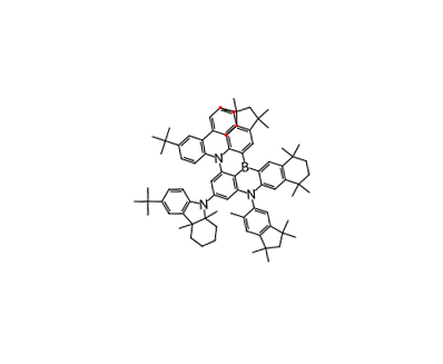 Cc1cc2c(cc1N1c3cc4c(cc3B3c5cc6c(cc5N(c5ccc(C(C)(C)C)cc5-c5ccccc5)c5cc(N7c8ccc(C(C)(C)C)cc8C8(C)CCCCC78C)cc1c53)C(C)(C)CC6(C)C)C(C)(C)CCC4(C)C)C(C)(C)CC2(C)C